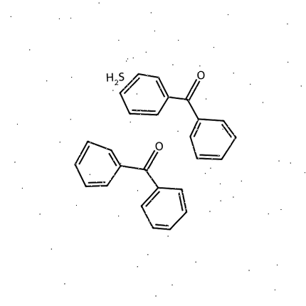 O=C(c1ccccc1)c1ccccc1.O=C(c1ccccc1)c1ccccc1.S